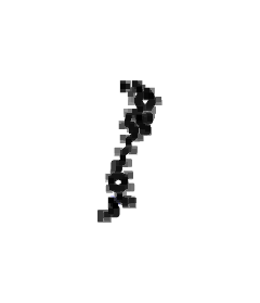 CCO/N=C(\CC)c1ccc(OCCCCCN2CCN(c3ccnc(N)c3)S2(=O)=O)cc1